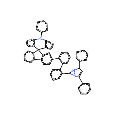 C1=C(c2ccccc2)N2C(c3ccccc3-c3ccccc3-c3ccc4c(c3)C3(c5ccccc5-4)c4ccccc4N(c4ccccc4)c4ccccc43)N2C1c1ccccc1